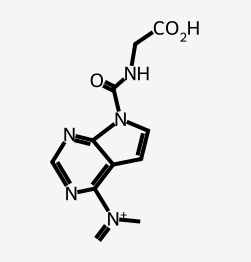 C=[N+](C)c1ncnc2c1ccn2C(=O)NCC(=O)O